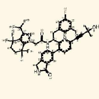 CC(C)(O)C#Cc1ccc(-c2ccc3c(c2)C(=O)NC3)c([C@H](Cc2cc(F)cc(F)c2)NC(=O)Cn2nc(C(F)F)c3c2C(F)(F)CCC3(F)F)n1